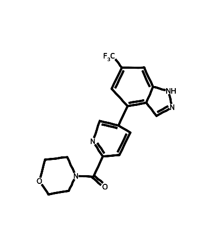 O=C(c1ccc(-c2cc(C(F)(F)F)cc3[nH]ncc23)cn1)N1CCOCC1